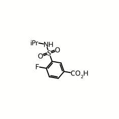 CC(C)NS(=O)(=O)c1cc(C(=O)O)ccc1F